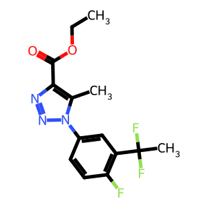 CCOC(=O)c1nnn(-c2ccc(F)c(C(C)(F)F)c2)c1C